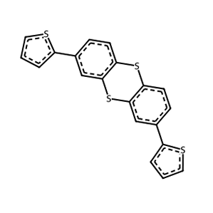 c1csc(-c2ccc3c(c2)Sc2cc(-c4cccs4)ccc2S3)c1